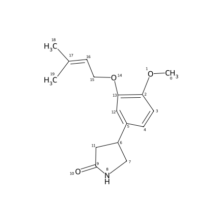 COc1ccc(C2CNC(=O)C2)cc1OCC=C(C)C